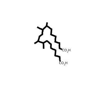 CC(CCCCCCC(=O)O)C(C)CCC(C)C(C)CCCCCCC(=O)O